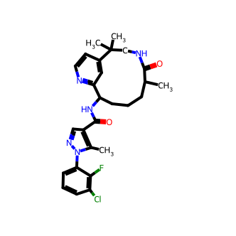 Cc1c(C(=O)NC2CCCC(C)C(=O)NCC(C)(C)c3ccnc2c3)cnn1-c1cccc(Cl)c1F